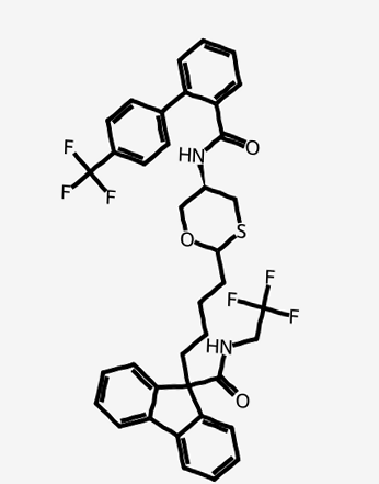 O=C(N[C@@H]1COC(CCCCC2(C(=O)NCC(F)(F)F)c3ccccc3-c3ccccc32)SC1)c1ccccc1-c1ccc(C(F)(F)F)cc1